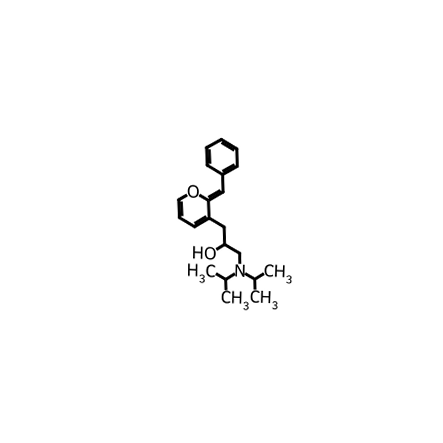 CC(C)N(CC(O)CC1=CC=COC1=Cc1ccccc1)C(C)C